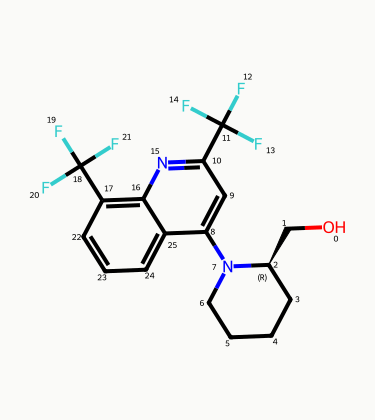 OC[C@H]1CCCCN1c1cc(C(F)(F)F)nc2c(C(F)(F)F)cccc12